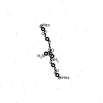 CCCCCCOc1ccc(OC(=O)/C=C/c2ccc(OCCCCOC(=O)C(Cc3ccc(N)cc3)(Cc3ccc(N)cc3)C(=O)OCCCCOc3ccc(/C=C/C(=O)Oc4ccc(OCCCCCC)cc4)cc3)cc2)cc1